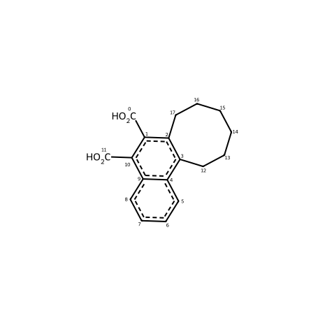 O=C(O)c1c2c(c3ccccc3c1C(=O)O)CCCCCC2